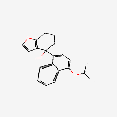 CC(C)Oc1ccc(C2(O)CCCc3occc32)c2ccccc12